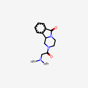 CCCN(CCC)CC(=O)N1CCN2C(=O)c3ccccc3C2C1